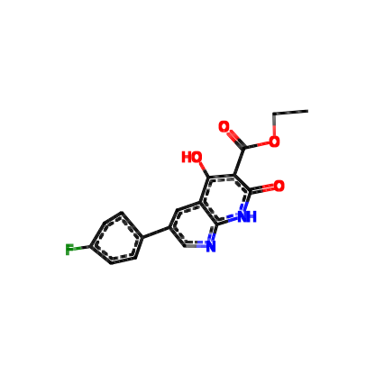 CCOC(=O)c1c(O)c2cc(-c3ccc(F)cc3)cnc2[nH]c1=O